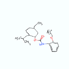 CCOc1ccccc1NC(=O)OC1CC(C)CCC1C(C)C